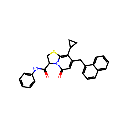 O=C(Nc1ccccc1)C1CSc2c(C3CC3)c(Cc3cccc4ccccc34)cc(=O)n21